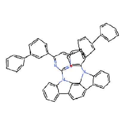 c1ccc(-c2ccc(-c3cc(-c4cccc(-c5ccccc5)c4)nc(-n4c5ccccc5c5ccc6c7ccccc7n(-c7ccccc7)c6c54)n3)cc2)cc1